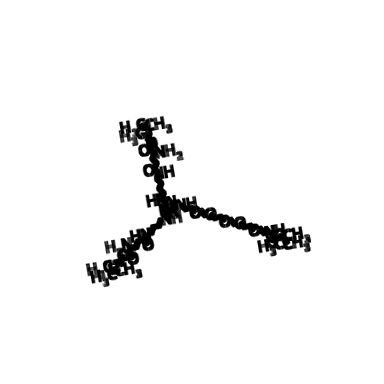 CC(C)(C)OC(=O)NCCOCCOCCOCCOCCOCCNc1nc(NCCCCNC(=O)CC[C@H](N)C(=O)OCC[Si](C)(C)C)nc(NCCCCNC(=O)CC[C@H](N)C(=O)OCC[Si](C)(C)C)n1